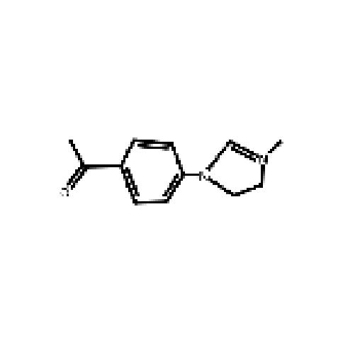 CC(=O)c1ccc(N2C=[N+](C)CC2)cc1